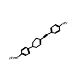 CCCCCc1ccc(C2CC=C(C#Cc3ccc(CCC)cc3)CC2)cc1